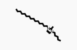 CCCCCCCCCCCCCCCN1C=CN(CCCCC)C1C